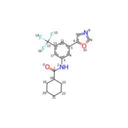 O=C(Nc1cc(-c2cnco2)cc(C(F)(F)F)c1)C1CCCCC1